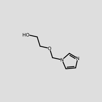 OCCOCn1ccnc1